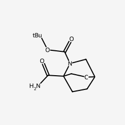 CC(C)(C)OC(=O)N1CC2CCC1(C(N)=O)CC2